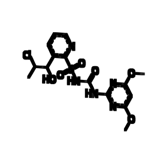 COc1cc(OC)nc(NC(=O)NS(=O)(=O)c2ncccc2C(O)C(C)Cl)n1